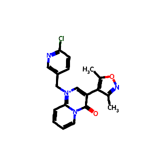 Cc1noc(C)c1-c1c[n+](Cc2ccc(Cl)nc2)c2ccccn2c1=O